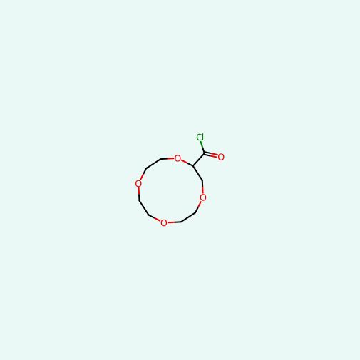 O=C(Cl)C1COCCOCCOCCO1